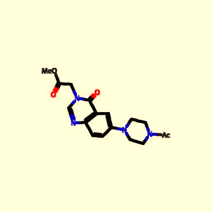 COC(=O)Cn1cnc2ccc(N3CCN(C(C)=O)CC3)cc2c1=O